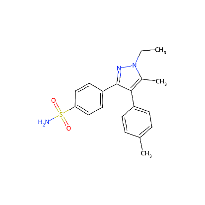 CCn1nc(-c2ccc(S(N)(=O)=O)cc2)c(-c2ccc(C)cc2)c1C